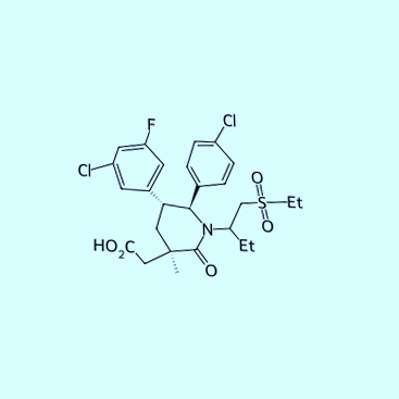 CCC(CS(=O)(=O)CC)N1C(=O)[C@@](C)(CC(=O)O)C[C@H](c2cc(F)cc(Cl)c2)[C@H]1c1ccc(Cl)cc1